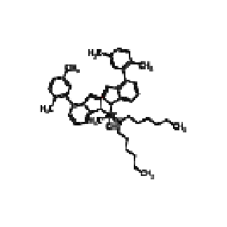 CCCCCC[Si](CCCCCC)=[Hf]([CH3])([CH3])([CH]1C=Cc2c(-c3cc(C)ccc3C)cccc21)[CH]1C=Cc2c(-c3cc(C)ccc3C)cccc21